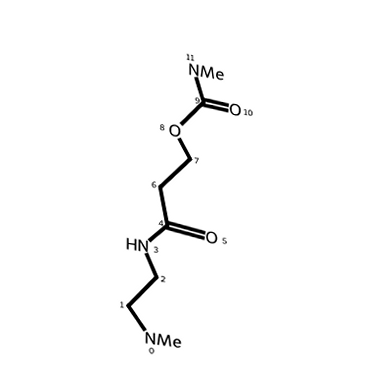 CNCCNC(=O)CCOC(=O)NC